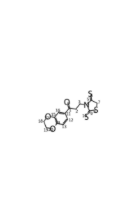 O=C(CCN1C(=S)CSC1=S)c1ccc2c(c1)OCCO2